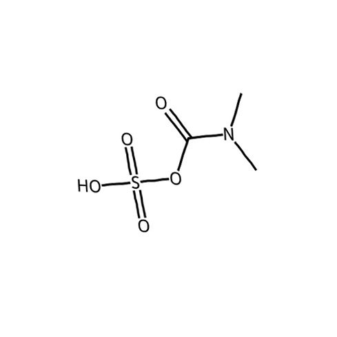 CN(C)C(=O)OS(=O)(=O)O